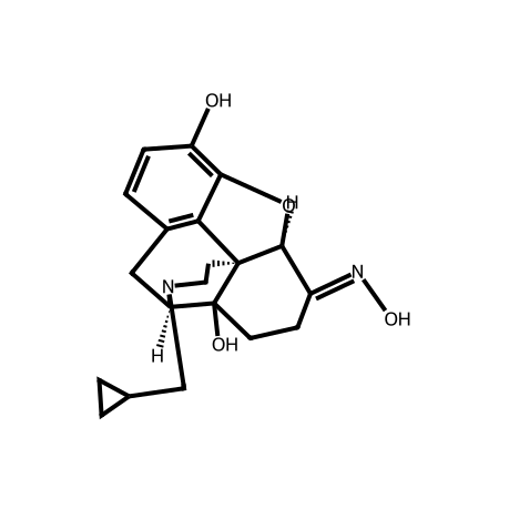 ON=C1CCC2(O)[C@H]3Cc4ccc(O)c5c4[C@@]2(CCN3CC2CC2)[C@H]1O5